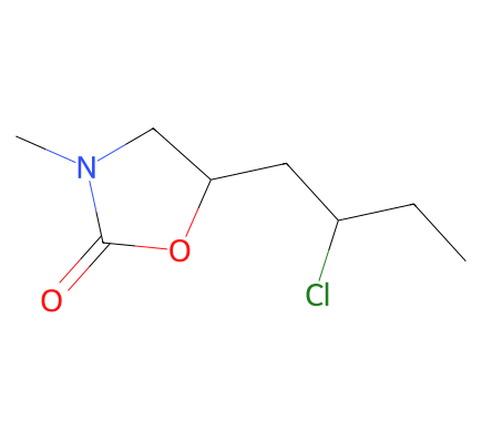 CCC(Cl)CC1CN(C)C(=O)O1